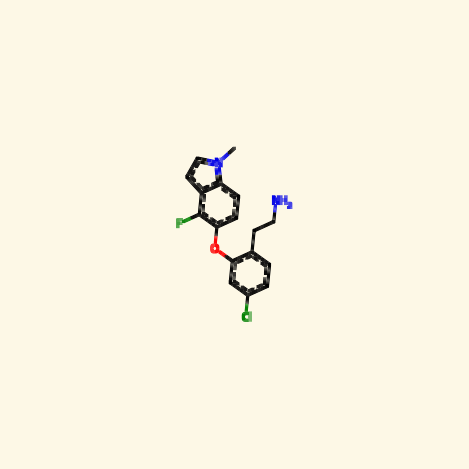 Cn1ccc2c(F)c(Oc3cc(Cl)ccc3CCN)ccc21